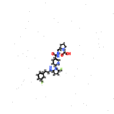 O=C(NC[C@H]1CCCN1C(=O)O)c1ccc(N2C(F)CCC2NCCc2cccc(F)c2)nc1